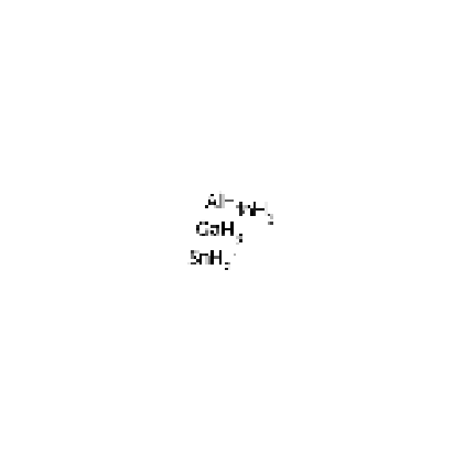 [AlH3].[GaH3].[InH3].[SnH2]